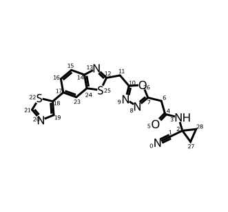 N#CC1(NC(=O)Cc2nnc(Cc3nc4ccc(-c5cncs5)cc4s3)o2)CC1